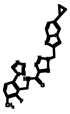 Cc1ccc(-n2cnnn2)c(CNC(=O)c2nnn(Cc3cn4cc(C5CC5)ccc4n3)n2)c1F